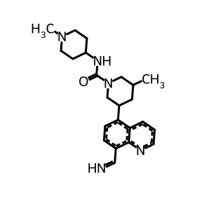 CC1CC(c2ccc(C=N)c3ncccc23)CN(C(=O)NC2CCN(C)CC2)C1